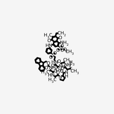 C=CC1=C(C)C(=O)c2c(Nc3cccc(S(=O)(=O)CCNC(=O)C(C)NC(=O)C(C)NC(=O)C(NC(=O)C4CCCN4C(=O)C(C)NC(=O)C(C)NC(=O)OCC4c5ccccc5-c5ccccc54)C(C)C)c3)cc(S(=O)(=O)OOC)c(N)c2C1=O